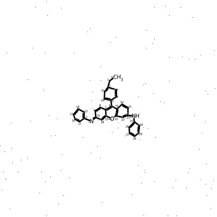 CCc1ccc(-c2c3cc/c(=N\c4ccccc4)cc-3oc3cc(Nc4ccccc4)ccc23)cc1